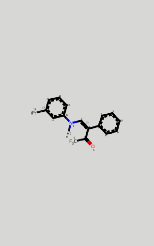 CCN(/C=C(\C(=O)C(F)(F)F)c1ccccc1)c1cccc(C(C)C)c1